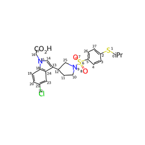 CC(C)Sc1ccc(S(=O)(=O)N2CCC(c3cn(CC(=O)O)c4ccc(Cl)cc34)C2)cc1